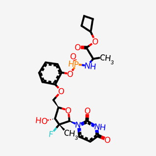 CC(N[PH](=O)Oc1ccccc1OC[C@H]1O[C@@H](n2ccc(=O)[nH]c2=O)[C@](C)(F)[C@@H]1O)C(=O)OC1CCC1